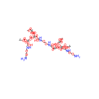 CCOC(=O)C(C)(CO)COC(=O)OCC(C)(COC(=O)OCC(C)(COC(=O)OCCC(C)C)C(=O)OCC(O)CNCCOCCOCCN)C(=O)OCC(O)CNCCOCCOCCNCC(O)COC(=O)C(C)(COC(=O)OCC(C)(CO)C(=O)OCC)COC(=O)OCC(C)(COC(=O)OCCC(C)C)C(=O)OCC(O)CNCCOCCOCCN